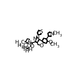 [2H]C([2H])([2H])OC1(C)C(C)CCN1C(=O)c1nn(-c2ccsc2)c2c1COc1cc(OC)c(-c3ccn(C)c3)cc1-2